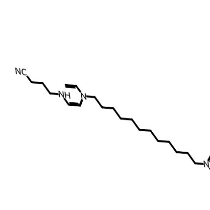 C=CN(/C=C\NCCCC#N)CCCCCCCCCCCCn1ccnc1